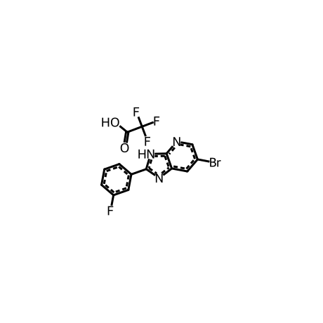 Fc1cccc(-c2nc3cc(Br)cnc3[nH]2)c1.O=C(O)C(F)(F)F